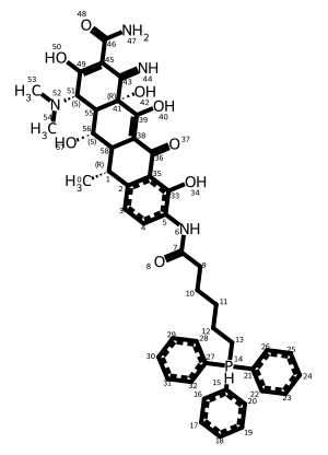 C[C@H]1c2ccc(NC(=O)CCCCC[PH](c3ccccc3)(c3ccccc3)c3ccccc3)c(O)c2C(=O)C2=C(O)[C@]3(O)C(=N)C(C(N)=O)=C(O)[C@@H](N(C)C)C3[C@@H](O)C21